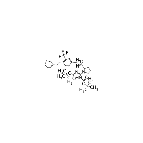 CC(C)(C)OC(=O)N=C(NC(=O)OC(C)(C)C)N1CCCC1c1nc(-c2ccc(CCC3=CCCCC3)c(C(F)(F)F)c2)no1